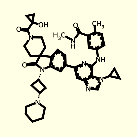 CNC(=O)c1cc(Nc2nc(-c3ccc4c(c3)N([C@H]3C[C@@H](N5CCCCC5)C3)C(=O)C43CCN(C(=O)C4(O)CC4)CC3)cc3ncn(C4CC4)c23)ccc1C